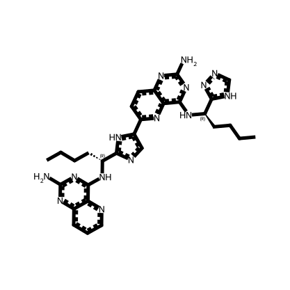 CCCC[C@@H](Nc1nc(N)nc2ccc(-c3cnc([C@@H](CCCC)Nc4nc(N)nc5cccnc45)[nH]3)nc12)c1nnc[nH]1